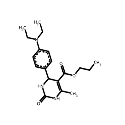 CCCOC(=O)C1=C(C)NC(=O)NC1c1ccc(N(CC)CC)cc1